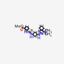 COC(=O)c1cccc(NC(=S)N[C@H]2CC[C@@H](Nc3nc4c(c(N(C)C)n3)CCCC4)CC2)c1